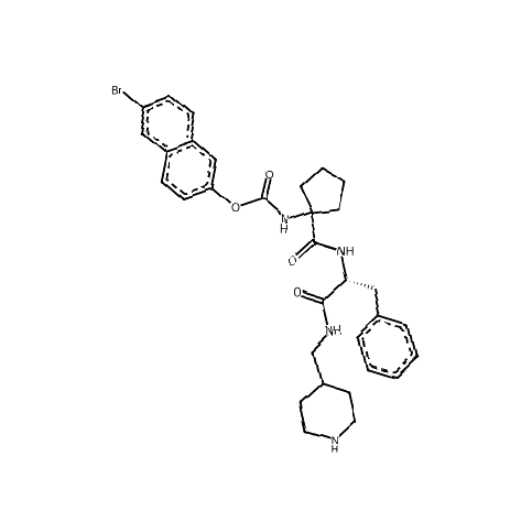 O=C(NC1(C(=O)N[C@H](Cc2ccccc2)C(=O)NCC2CCNCC2)CCCC1)Oc1ccc2cc(Br)ccc2c1